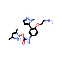 CC1=CC(C)NN1OC(=O)Nc1ccc(OCCN)c(-c2ccnn2C)c1